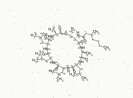 CCCCC(C)CC(=O)N[C@@H]1C(=O)N[C@@H](C)C(=O)NC(CC(C)C)C(=O)NC(CC(C)C)C(=O)NC(CC(C)C)C(=O)NC(CC(C)C)C(=O)N[C@@H](C)C(=O)O[C@@H]1C